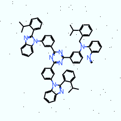 C=Nc1ccccc1N(Cc1ccccc1C(C)C)c1cccc(-c2nc(-c3cccc(-n4c(-c5ccccc5C(C)C)nc5ccccc54)c3)nc(-c3cccc(-n4c(-c5ccccc5C(C)C)nc5ccccc54)c3)n2)c1